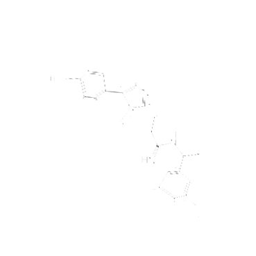 CCCc1ccc(-c2cnc(CCC(=N)NC(C)c3cccc(F)c3)n2C)cc1